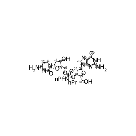 CCCN(CCC)P(=O)(OC[C@H]1O[C@@H](n2ccc(N)nc2=O)CC1O)OC1C[C@H](n2cnc3c(=O)[nH]c(N)nc32)O[C@@H]1CO